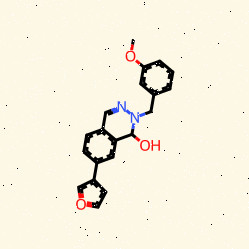 COc1cccc(CN2N=Cc3ccc(-c4ccoc4)cc3C2O)c1